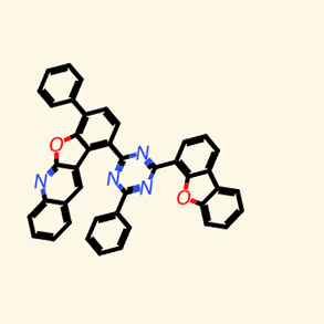 c1ccc(-c2nc(-c3cccc4c3oc3ccccc34)nc(-c3ccc(-c4ccccc4)c4oc5nc6ccccc6cc5c34)n2)cc1